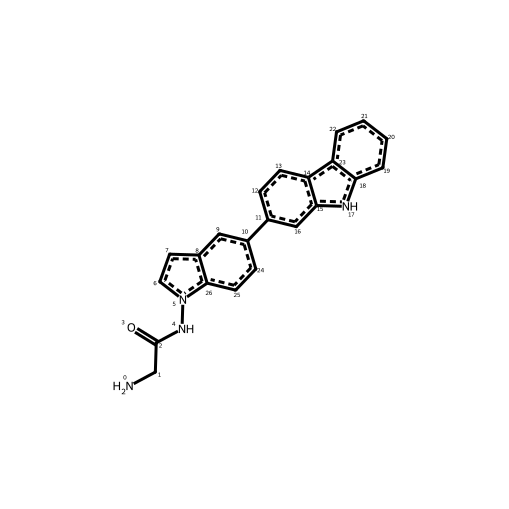 NCC(=O)Nn1ccc2cc(-c3ccc4c(c3)[nH]c3ccccc34)ccc21